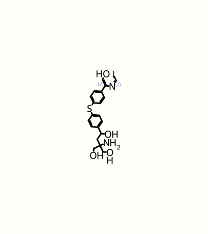 NC(CO)(CO)CC(O)c1ccc(Sc2ccc(C(=C/O)/N=C\I)cc2)cc1